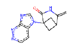 C=C1NC(=O)C2(n3cnc4nnccc43)CC1C2